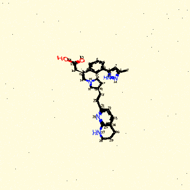 Cc1cc(-c2cccc([C@H](CC(=O)O)CN3CC[C@@H](CCc4ccc5c(n4)NCCC5)C3)c2)[nH]n1